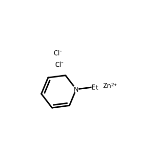 CCN1C=CC=CC1.[Cl-].[Cl-].[Zn+2]